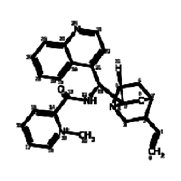 C=CC1CN2CCC1C[C@H]2[C@@H](NC(=O)c1cccc[n+]1C)c1ccnc2ccccc12